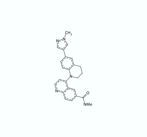 CNC(=O)c1ccc2nccc(N3CCCc4cc(-c5cnn(C)c5)ccc43)c2c1